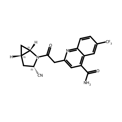 N#C[C@@H]1C[C@@H]2C[C@@H]2N1C(=O)Cc1cc(C(N)=O)c2cc(C(F)(F)F)ccc2n1